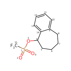 O=S(=O)(OC1CCCCc2ccccc21)C(F)(F)F